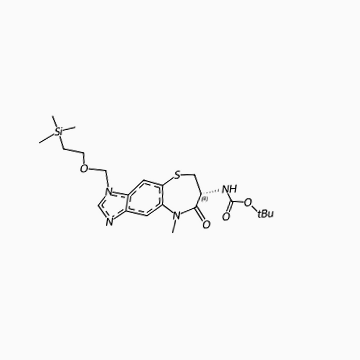 CN1C(=O)[C@@H](NC(=O)OC(C)(C)C)CSc2cc3c(cc21)ncn3COCC[Si](C)(C)C